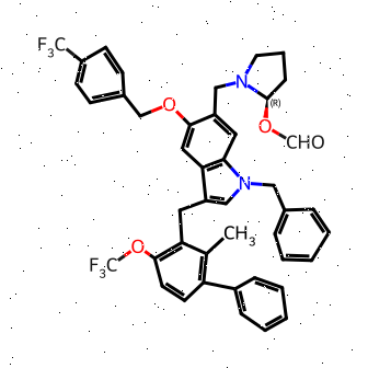 Cc1c(-c2ccccc2)ccc(OC(F)(F)F)c1Cc1cn(Cc2ccccc2)c2cc(CN3CCC[C@H]3OC=O)c(OCc3ccc(C(F)(F)F)cc3)cc12